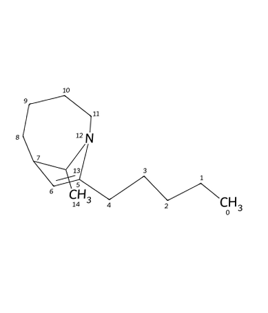 CCCCCC1=CC2CCCCN1C2C